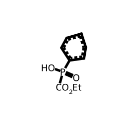 CCOC(=O)P(=O)(O)c1ccccc1